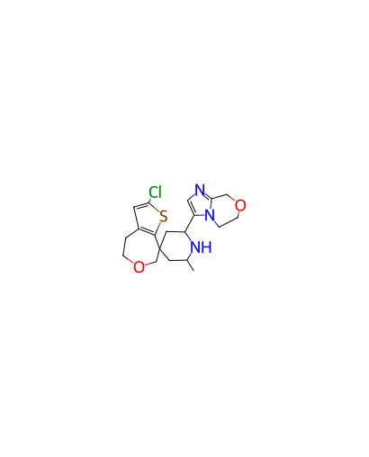 CC1CC2(COCCc3cc(Cl)sc32)CC(c2cnc3n2CCOC3)N1